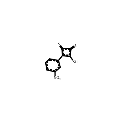 O=[N+]([O-])c1cccc(-c2c(S)c(=S)c2=S)c1